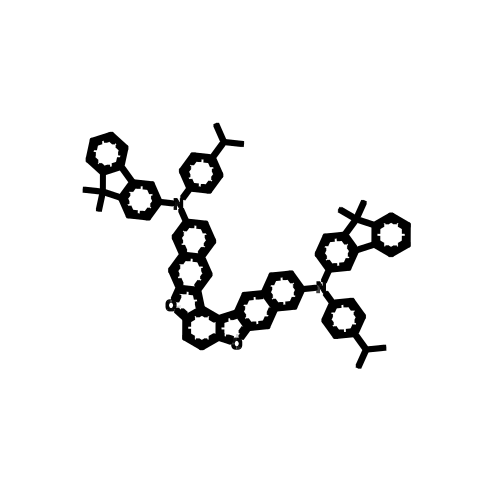 CC(C)c1ccc(N(c2ccc3c(c2)-c2ccccc2C3(C)C)c2ccc3cc4c(cc3c2)oc2ccc3oc5cc6cc(N(c7ccc(C(C)C)cc7)c7ccc8c(c7)-c7ccccc7C8(C)C)ccc6cc5c3c24)cc1